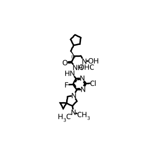 CN(C)C1CN(c2nc(Cl)nc(NNC(=O)[C@@H](CC3CCCC3)CN(O)C=O)c2F)CC12CC2